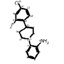 Nc1ccccc1N1CCC(c2ccc(Cl)cc2F)CC1